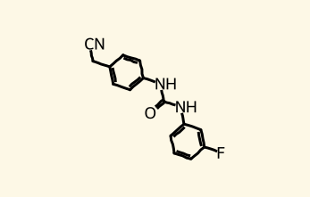 N#CCc1ccc(NC(=O)Nc2cccc(F)c2)cc1